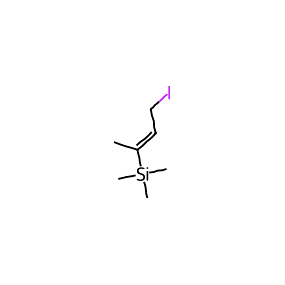 C/C(=C\CI)[Si](C)(C)C